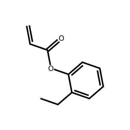 C=CC(=O)Oc1ccccc1CC